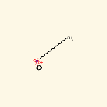 CCCCCCCCCCCCCCCCCOP(=O)(O)Oc1ccccc1